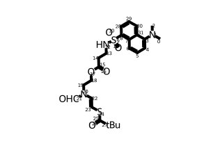 CN(C)c1cccc2c(S(=O)(=O)NCCC(=O)OCCN(C=O)/C=C/SC(=O)C(C)(C)C)cccc12